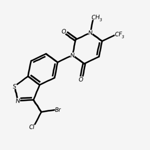 Cn1c(C(F)(F)F)cc(=O)n(-c2ccc3snc(C(Cl)Br)c3c2)c1=O